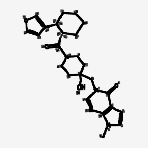 Cn1ccc2c(=O)n(CC3(O)CCN(C(=O)[C@H]4CCCC[C@@H]4c4ccoc4)CC3)cnc21